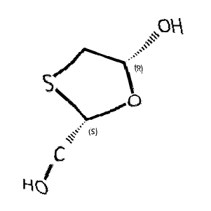 OC[C@H]1O[C@@H](O)CS1